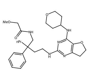 CCCC(CCNc1nc2c(c(NC3CCOCC3)n1)OCC2)(CNC(=O)COC)c1ccccc1